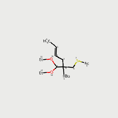 CC=CCC(CCCC)(CSC(C)=O)C(OCC)OCC